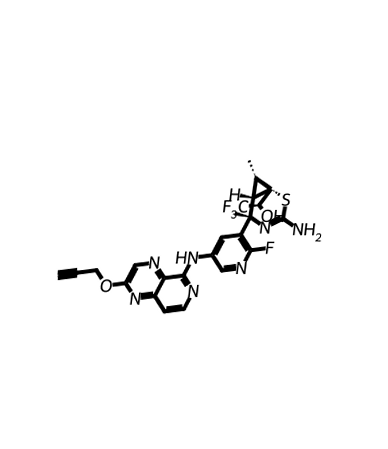 C#CCOc1cnc2c(Nc3cnc(F)c([C@@]4(C)N=C(N)S[C@]5([C@@H](O)C(F)(F)F)[C@H]4[C@@H]5C)c3)nccc2n1